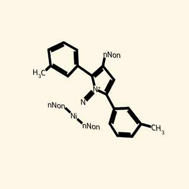 CCCCCCCCCC1=C(c2cccc(C)c2)[N+](=[N-])C(c2cccc(C)c2)=C1.CCCCCCCC[CH2][Ni][CH2]CCCCCCCC